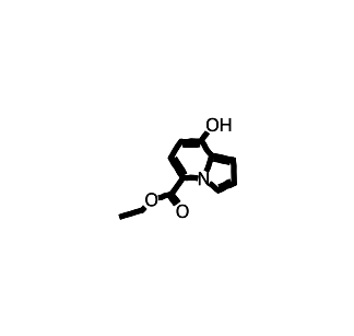 CCOC(=O)c1ccc(O)c2cccn12